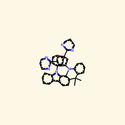 CC1(C)c2ccccc2N(c2cc(-c3ncccn3)cc(-c3ncccn3)c2)c2c1ccc1c3ccccc3n(-c3ccccc3)c21